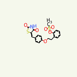 CS(=O)(=O)Oc1ccccc1CCOc1ccc(C=C2SC(=O)NC2=O)cc1